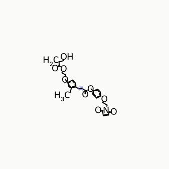 C=C(CO)C(=O)OCCOc1ccc(/C=C/C(=O)Oc2ccc(OCCN3C(=O)C=CC3=O)cc2)c(CC)c1